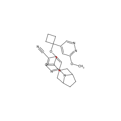 COc1cc(C2(OCC(=O)N3CC4CCC(C3)N4c3ccc(C#N)cn3)CCC2)cnn1